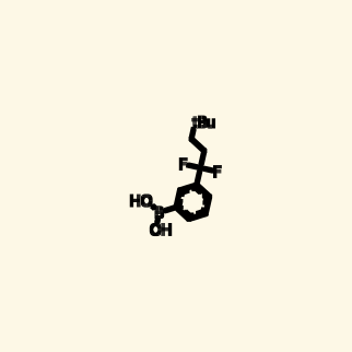 CC(C)(C)CCC(F)(F)c1cccc(B(O)O)c1